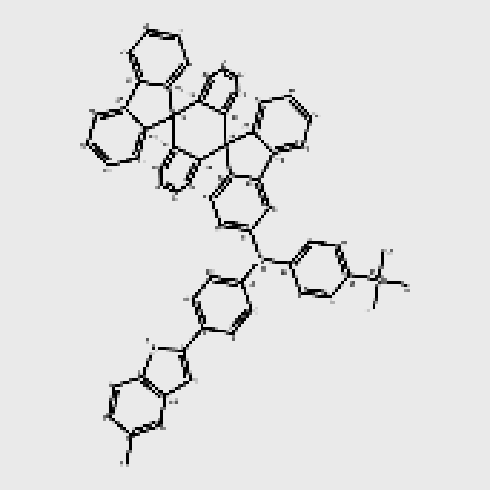 Cc1ccc2sc(-c3ccc(N(c4ccc([Si](C)(C)C)cc4)c4ccc5c(c4)-c4ccccc4C54c5ccccc5C5(c6ccccc6-c6ccccc65)c5ccccc54)cc3)cc2c1